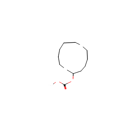 CC(C)(C)OC(=O)OC1CCCCCCCCCCC1